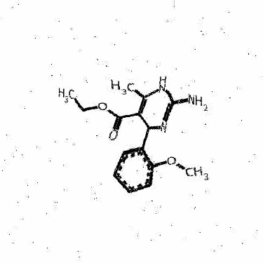 CCOC(=O)C1=C(C)NC(N)=NC1c1ccccc1OC